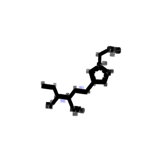 C=C/C(CC)=C(\C=C\c1cnn(CC=O)c1)NC